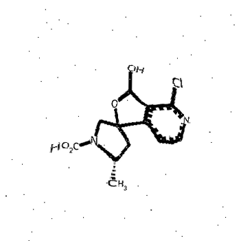 C[C@H]1CC2(CN1C(=O)O)OC(O)c1c2ccnc1Cl